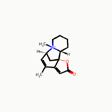 CC1=C[C@@H]2C[C@@]3(OC(=O)C=C13)[C@H]1CCCC[N+]21C